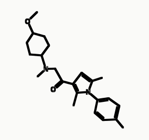 COC1CCC(N(C)CC(=O)c2cc(C)n(-c3ccc(C)cc3)c2C)CC1